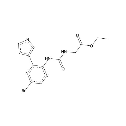 CCOC(=O)CNC(=O)Nc1ncc(Br)nc1-n1ccnc1